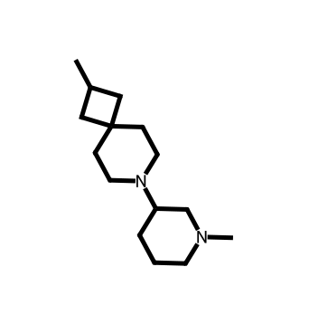 CC1CC2(CCN(C3CCCN(C)C3)CC2)C1